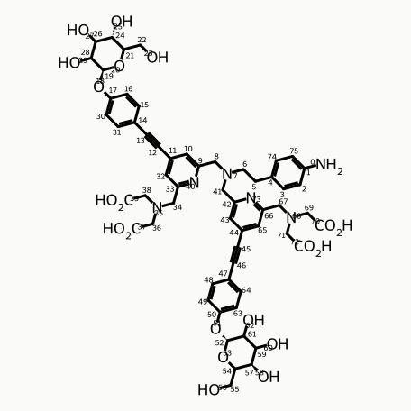 Nc1ccc(CCN(Cc2cc(C#Cc3ccc(O[C@@H]4OC(CO)[C@@H](O)C(O)C4O)cc3)cc(CN(CC(=O)O)CC(=O)O)n2)Cc2cc(C#Cc3ccc(O[C@H]4OC(CO)[C@H](O)C(O)C4O)cc3)cc(CN(CC(=O)O)CC(=O)O)n2)cc1